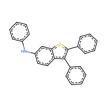 c1ccc(Nc2ccc3c(-c4ccccc4)c(-c4ccccc4)sc3c2)cc1